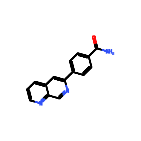 NC(=O)c1ccc(-c2cc3cccnc3cn2)cc1